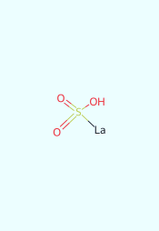 O=[S](=O)(O)[La]